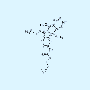 CCCCC(=O)Oc1ccc2c(c1)c1c(C)c3cnccc3c(C)c1n2CCC